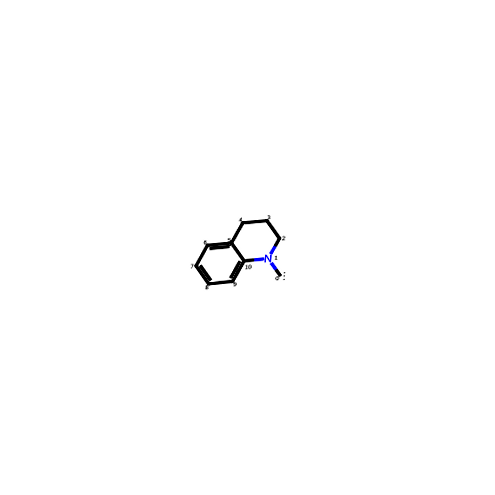 [C]N1CCCc2ccccc21